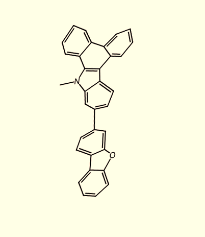 Cn1c2cc(-c3ccc4c(c3)oc3ccccc34)ccc2c2c3ccccc3c3ccccc3c21